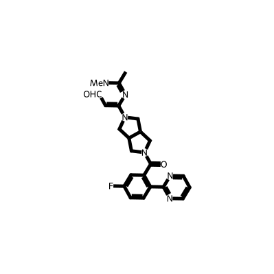 CN/C(C)=N\C(=C/C=O)N1CC2CN(C(=O)c3cc(F)ccc3-c3ncccn3)CC2C1